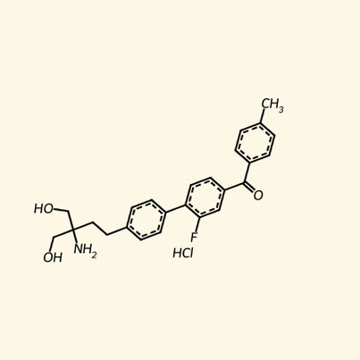 Cc1ccc(C(=O)c2ccc(-c3ccc(CCC(N)(CO)CO)cc3)c(F)c2)cc1.Cl